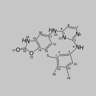 Cc1cc(Nc2nccc(Nc3ccc4oc(=O)[nH]c4c3)n2)cc(C)c1C